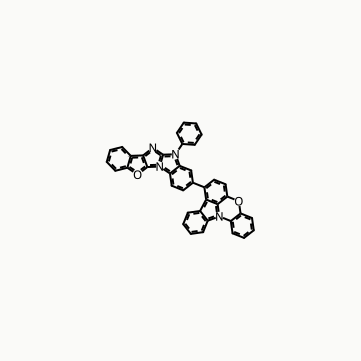 c1ccc(-n2c3cc(-c4ccc5c6c4c4ccccc4n6-c4ccccc4O5)ccc3n3c4oc5ccccc5c4nc23)cc1